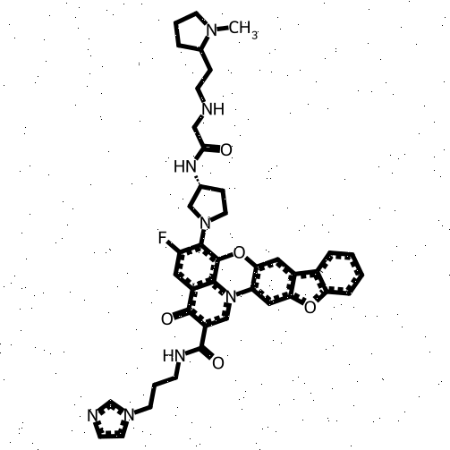 CN1CCCC1CCNCC(=O)N[C@@H]1CCN(c2c(F)cc3c(=O)c(C(=O)NCCCn4ccnc4)cn4c3c2Oc2cc3c(cc2-4)oc2ccccc23)C1